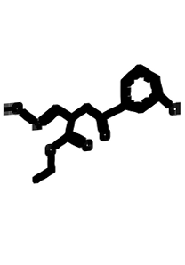 CCOC(=O)C(/C=N/O)CC(=O)c1cccc(Cl)c1